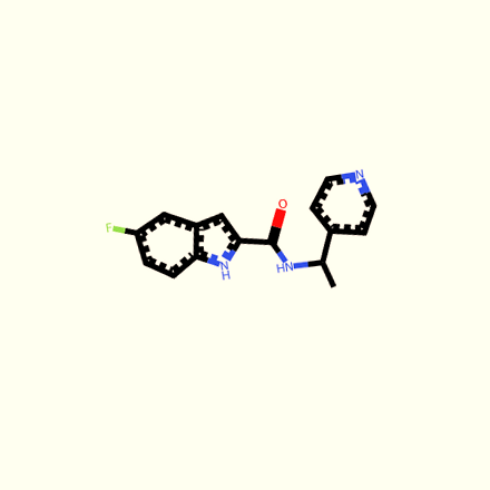 CC(NC(=O)c1cc2cc(F)ccc2[nH]1)c1ccncc1